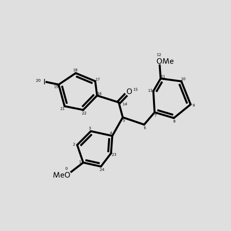 COc1ccc(C(Cc2cccc(OC)c2)C(=O)c2ccc(I)cc2)cc1